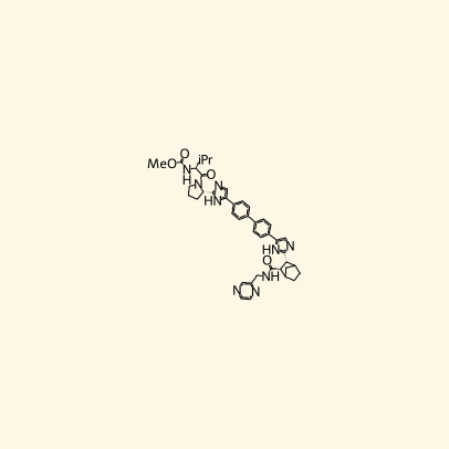 COC(=O)N[C@H](C(=O)N1CCC[C@H]1c1ncc(-c2ccc(-c3ccc(-c4cnc([C@@H]5C6CCC(C6)[C@H]5C(=O)NCc5cnccn5)[nH]4)cc3)cc2)[nH]1)C(C)C